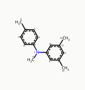 Cc1ccc(N(C)c2cc(C)cc(C)c2)cc1